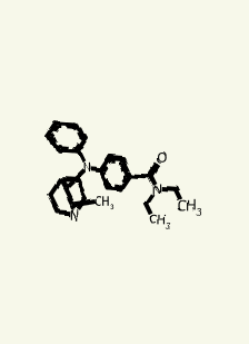 CCN(CC)C(=O)c1ccc(N(c2ccccc2)C2C3CCN(CC3)C2C)cc1